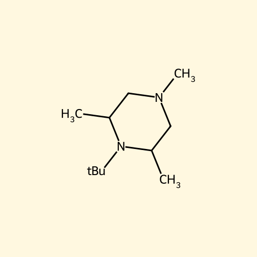 CC1CN(C)CC(C)N1C(C)(C)C